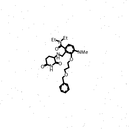 CCN(CC)C(=O)c1ccc(NC)c(OCCCOCc2ccccc2)c1CNC1CCC(=O)NC1=O